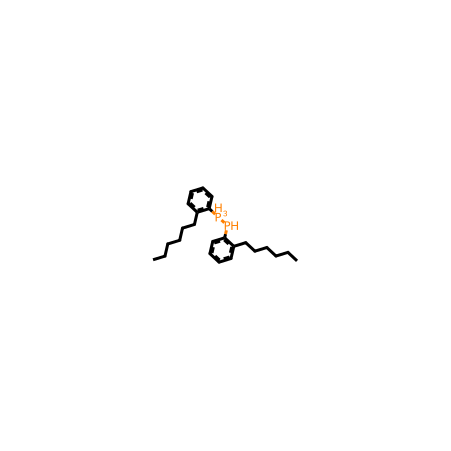 CCCCCCc1ccccc1P[PH3]c1ccccc1CCCCCC